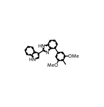 COc1cc(-c2cccc3[nH]c(-c4c[nH]c5ccccc45)nc23)cc(OC)c1C